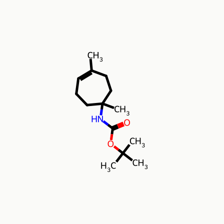 CC1=CCCC(C)(NC(=O)OC(C)(C)C)CC1